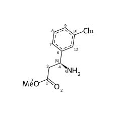 COC(=O)C[C@H](N)c1cccc(Cl)c1